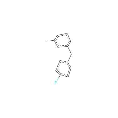 Cc1cccc(Cc2ccc(F)cc2)c1